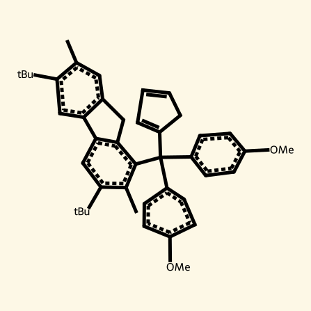 COc1ccc(C(C2=CC=CC2)(c2ccc(OC)cc2)c2c(C)c(C(C)(C)C)cc3c2Cc2cc(C)c(C(C)(C)C)cc2-3)cc1